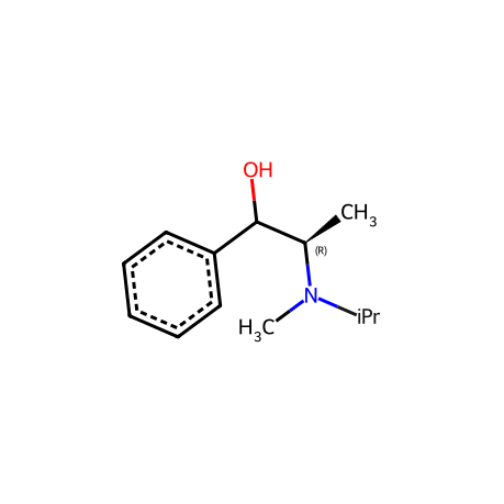 CC(C)N(C)[C@H](C)C(O)c1ccccc1